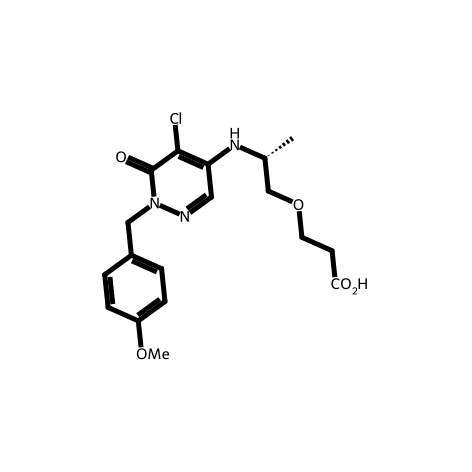 COc1ccc(Cn2ncc(N[C@H](C)COCCC(=O)O)c(Cl)c2=O)cc1